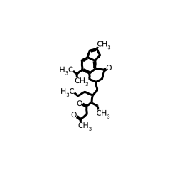 CCCC(CC1CC(=O)c2c3c(cc(C(C)C)c2C1)C=C(C)C3)C(CC)C(=O)CC(C)=O